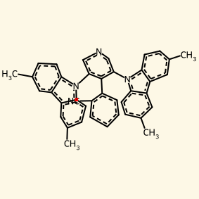 Cc1ccc2c(c1)c1cc(C)ccc1n2-c1cncc(-n2c3ccc(C)cc3c3cc(C)ccc32)c1-c1ccccc1C#N